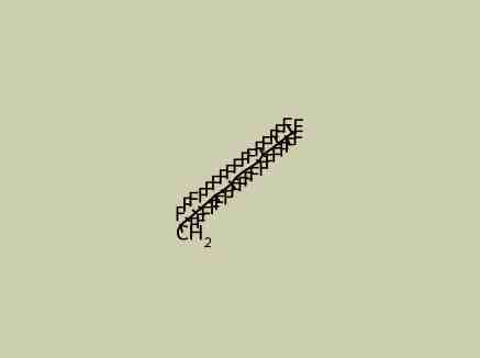 [CH2]CC(F)(F)C(F)(F)C(F)(F)C(F)(F)C(F)(F)C(F)(F)C(F)(F)C(F)(F)C(F)(F)C(F)(F)C(F)(F)C(F)(F)C(F)(F)C(F)(F)C(F)(F)C(F)(F)F